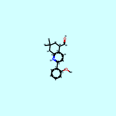 COc1ccccc1-c1ccc2c(n1)CC(C)(C)CC2C=O